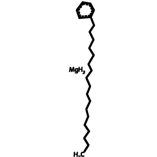 CCCCCCCCCCCCCCCCCCc1ccccc1.[MgH2]